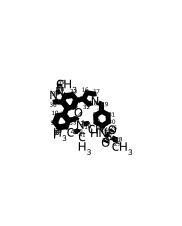 CCN(C(=O)c1cc(F)ccc1-c1cc(C2CCN(CC3CCC(NS(=O)(=O)CC)CC3)C2)cc2c1cnn2C)C(C)C